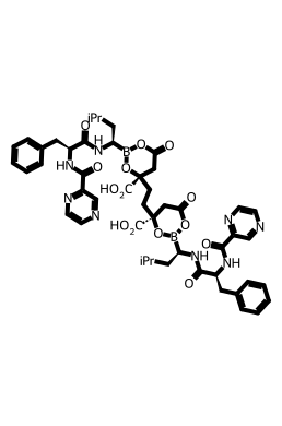 CC(C)C[C@H](NC(=O)[C@H](Cc1ccccc1)NC(=O)c1cnccn1)B1OC(=O)C[C@@](CC[C@@]2(C(=O)O)CC(=O)OB([C@H](CC(C)C)NC(=O)[C@H](Cc3ccccc3)NC(=O)c3cnccn3)O2)(C(=O)O)O1